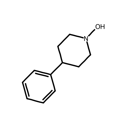 ON1CCC(c2ccccc2)CC1